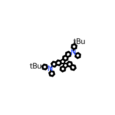 CC(C)(C)c1ccc(N(c2ccccc2)c2ccc3cc4c(cc3c2)C2(c3cc5cc(N(c6ccccc6)c6ccc(C(C)(C)C)cc6)ccc5cc3-4)c3ccccc3-c3c2ccc2ccccc32)cc1